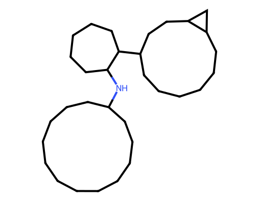 C1CCCCCCC(NC2CCCCCC2C2CCCCCCC3CC3CC2)CCCCC1